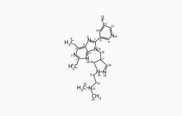 Cc1nc(C)c2nc(-c3cncc(F)c3)n(CC3C=NN(CCN(C)C)C3)c2n1